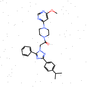 COc1cc(N2CCN(C(=O)Cn3nc(-c4ccc(C(C)C)cc4)nc3-c3ccccc3)CC2)ncn1